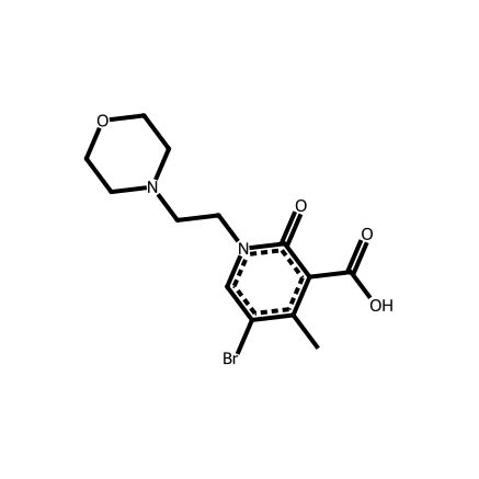 Cc1c(Br)cn(CCN2CCOCC2)c(=O)c1C(=O)O